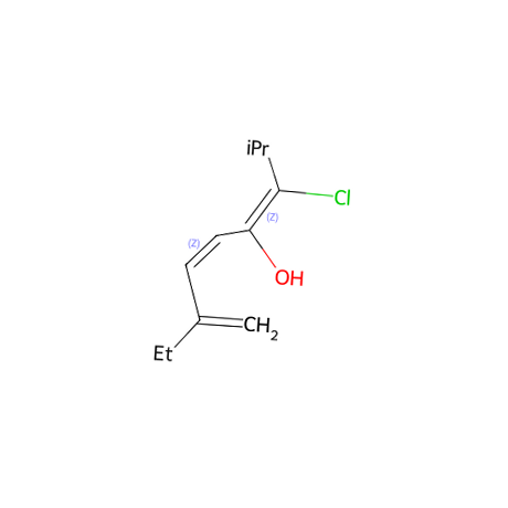 C=C(/C=C\C(O)=C(\Cl)C(C)C)CC